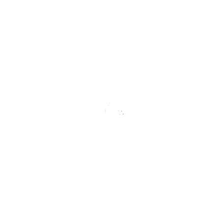 [Al].[Cu].[Ti].[Ti].[W]